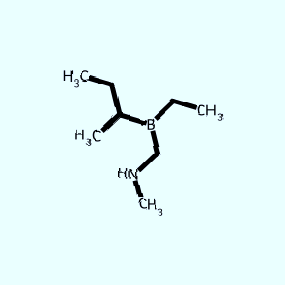 CCB(CNC)C(C)CC